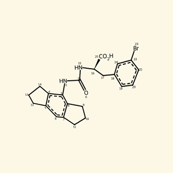 O=C(Nc1c2c(cc3c1CCC3)CCC2)N[C@H](Cc1cccc(Br)c1)C(=O)O